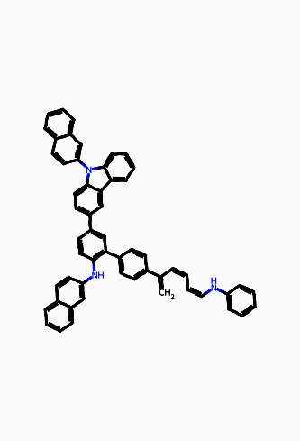 C=C(/C=C\C=C/Nc1ccccc1)c1ccc(-c2cc(-c3ccc4c(c3)c3ccccc3n4-c3ccc4ccccc4c3)ccc2Nc2ccc3ccccc3c2)cc1